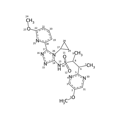 COc1cnc(C(C)C(C)S(=O)(=O)Nc2nnc(-c3cccc(OC)n3)n2C2CC2)nc1